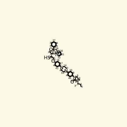 CC[C@H](C)n1ncn(-c2ccc(N3CCN(c4ccc(OCC(S)[C@H]5CO[C@](Cn6cccn6)(c6ccccc6)O5)cc4)CC3)cc2)c1=O